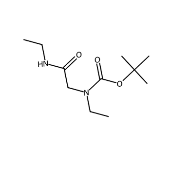 CCNC(=O)CN(CC)C(=O)OC(C)(C)C